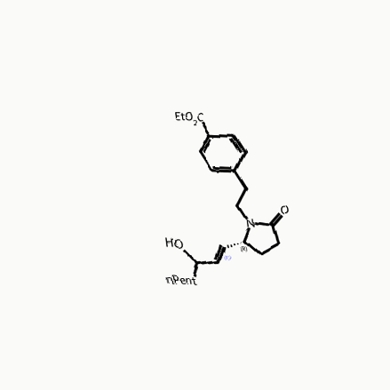 CCCCCC(O)/C=C/[C@H]1CCC(=O)N1CCc1ccc(C(=O)OCC)cc1